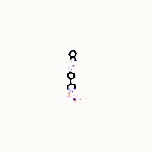 CC(C)OC(=O)NS(=O)(=O)N1CCC(c2ccc(NC(=O)N3Cc4ccc(F)cc4C3)cc2)CC1